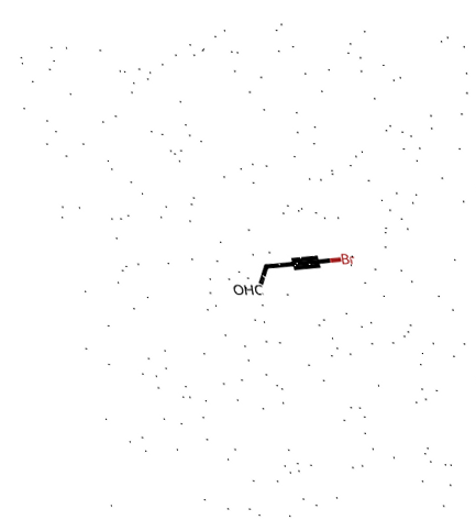 O=CCC#CBr